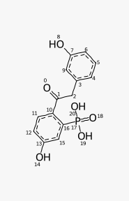 O=C(Cc1cccc(O)c1)c1ccc(O)cc1P(=O)(O)O